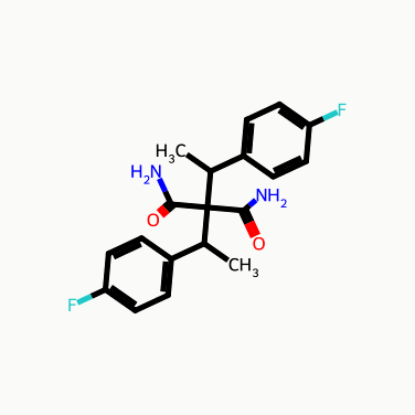 CC(c1ccc(F)cc1)C(C(N)=O)(C(N)=O)C(C)c1ccc(F)cc1